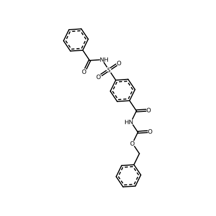 O=C(NC(=O)c1ccc(S(=O)(=O)NC(=O)c2ccccc2)cc1)OCc1ccccc1